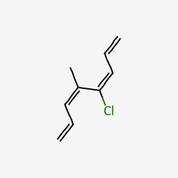 C=C/C=C(C)\C(Cl)=C/C=C